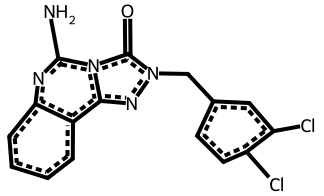 Nc1nc2ccccc2c2nn(Cc3ccc(Cl)c(Cl)c3)c(=O)n12